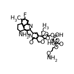 CC[C@@]1(OCOP(=O)(O)OP(=O)(O)OCCON)C(=O)OCc2c1cc1n(c2=O)Cc2c-1nc1cc(F)c(C)c3c1c2[C@@H](N)CC3